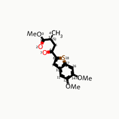 COC(=O)[C@@H](C)CC(=O)c1cc2cc(OC)c(OC)cc2s1